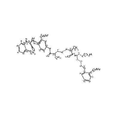 COc1cc(CC(=O)N(C)CCCN(C)C(=O)N(CCCOc2ccccc2OC)CCC(=O)O)ccc1NC(=O)Nc1ccccc1C